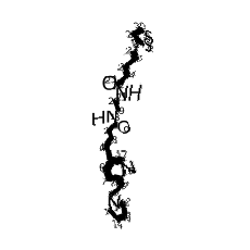 O=C(CC=Cc1ccc(CCN2CCCC2)nc1)NCCNC(=O)CCCC[C@@H]1CCSS1